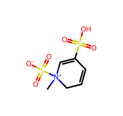 C[N+]1(S(=O)(=O)[O-])C=C(S(=O)(=O)O)C=CC1